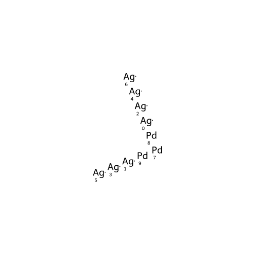 [Ag].[Ag].[Ag].[Ag].[Ag].[Ag].[Ag].[Pd].[Pd].[Pd]